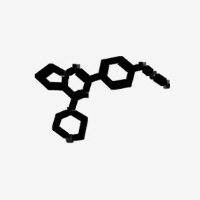 S=C=Nc1ccc(-c2nc(N3CCOCC3)c3cccn3n2)cc1